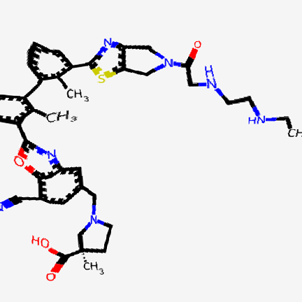 CCNCCNCC(=O)N1Cc2nc(-c3cccc(-c4cccc(-c5nc6cc(CN7CC[C@@](C)(C(=O)O)C7)cc(C#N)c6o5)c4C)c3C)sc2C1